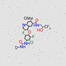 COc1cc2nccc(Oc3c(F)cc(NC(=O)NC4CC4)c(Cl)c3F)c2cc1C(=O)NCC(O)C(F)(F)F